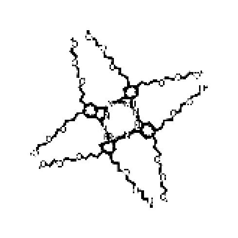 COCCOCCOCCCc1cc2c(cc1CCCOCCOCCOC)-c1nc-2nc2[nH]c(nc3nc(nc4[nH]c(n1)c1cc(CCCOCCOCCOC)c(CCCOCCOCCOC)cc41)-c1cc(CCCOCCOCCOC)c(CCCOCCOCCOC)cc1-3)c1cc(CCCOCCOCCOC)c(CCCOCCOCCOC)cc21